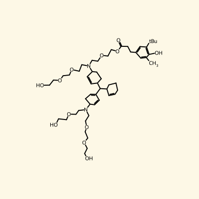 Cc1cc(CCC(=O)OCCOCCN(CCOCCOCCO)C2C=CC(C(C3=CCC(N(CCOCCO)CCOCCOCCO)C=C3)C3C=CCCC3)CC2)cc(C(C)(C)C)c1O